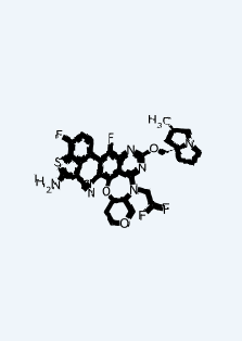 C[C@H]1CN2CCC[C@@]2(COc2nc3c4c(c(Cl)c(-c5ccc(F)c6sc(N)c(C#N)c56)c(F)c4n2)OC2CCOCC2N3CC(F)F)C1